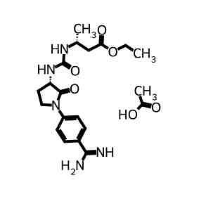 CC(=O)O.CCOC(=O)C[C@@H](C)NC(=O)N[C@H]1CCN(c2ccc(C(=N)N)cc2)C1=O